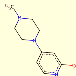 CN1CCN(c2ccnc(O)c2)CC1